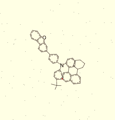 CC(C)(C)c1ccc(N(c2ccc(-c3ccc4c(c3)oc3ccccc34)cc2)c2ccccc2-c2cccc3cccc(C4CCCCC4)c23)cc1